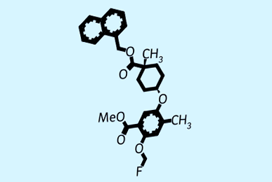 COC(=O)c1cc(O[C@H]2CC[C@@](C)(C(=O)OCc3cccc4ccccc34)CC2)c(C)cc1OCF